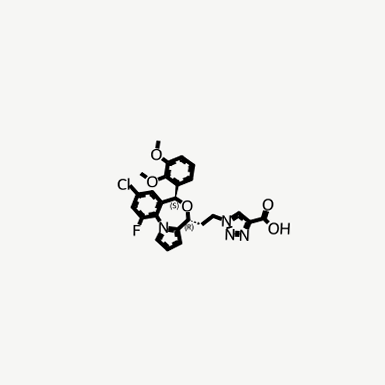 COc1cccc([C@H]2O[C@H](CCn3cc(C(=O)O)nn3)c3cccn3-c3c(F)cc(Cl)cc32)c1OC